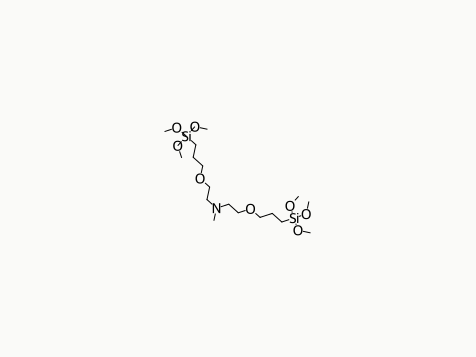 CO[Si](CCCOCCN(C)CCOCCC[Si](OC)(OC)OC)(OC)OC